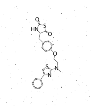 CN(CCOc1ccc(CC2NC(=O)SC2=O)cc1)c1nc(-c2ccccc2)cs1